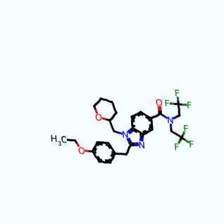 CCOc1ccc(Cc2nc3cc(C(=O)N(CC(F)(F)F)CC(F)(F)F)ccc3n2CC2CCCCO2)cc1